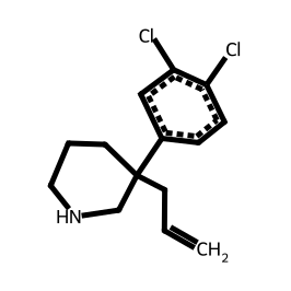 C=CCC1(c2ccc(Cl)c(Cl)c2)CCCNC1